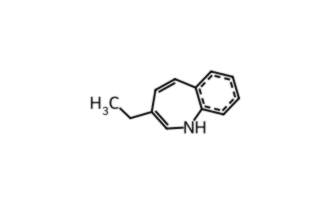 CCC1=CNc2ccccc2C=C1